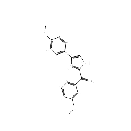 COc1ccc(-c2c[nH]c(C(=O)c3cccc(OC)c3)n2)cc1